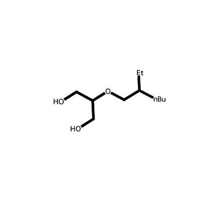 CCCCC(CC)COC(CO)CO